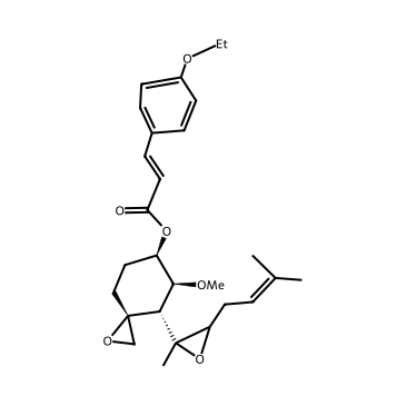 CCOc1ccc(/C=C/C(=O)O[C@@H]2CC[C@]3(CO3)[C@@H](C3(C)OC3CC=C(C)C)[C@@H]2OC)cc1